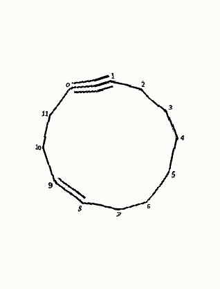 C1#CCCCCCCC=CCC1